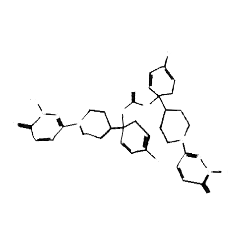 Cn1nc(N2CCC(C3(OC(=O)OC4(C5CCN(c6ccc(=O)n(C)n6)CC5)C=CC([N+](=O)[O-])=CC4)C=CC([N+](=O)[O-])=CC3)CC2)ccc1=O